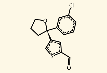 O=Cc1cc([C@@]2(c3cccc(Cl)c3)CCCO2)cs1